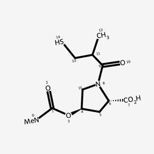 CNC(=O)O[C@@H]1C[C@@H](C(=O)O)N(C(=O)C(C)CS)C1